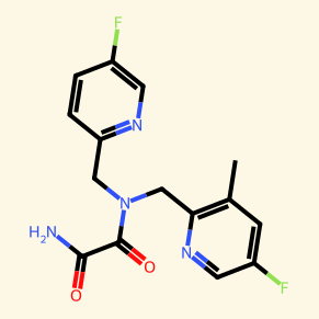 Cc1cc(F)cnc1CN(Cc1ccc(F)cn1)C(=O)C(N)=O